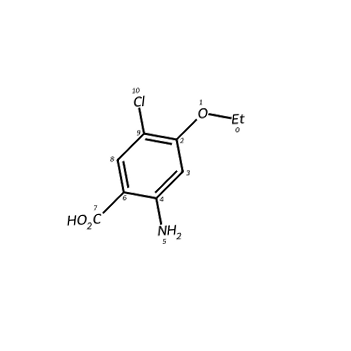 CCOc1cc(N)c(C(=O)O)cc1Cl